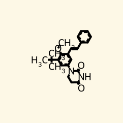 COc1c(C=Cc2ccccc2)cc(N2CCC(=O)NC2=O)cc1C(C)(C)C